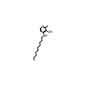 CCCCCCCCCCNc1ccnc(C)c1O